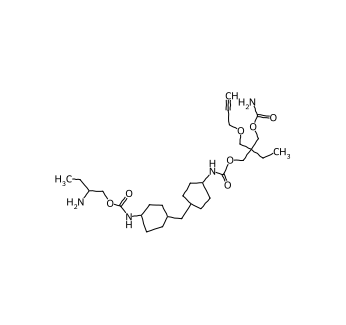 C#CCOCC(CC)(COC(N)=O)COC(=O)NC1CCC(CC2CCC(NC(=O)OCC(N)CC)CC2)CC1